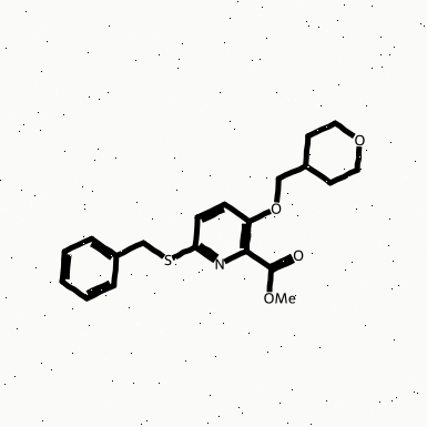 COC(=O)c1nc(SCc2ccccc2)ccc1OCC1CCOCC1